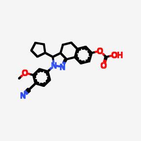 COc1cc(N2N=C3c4ccc(OC(=O)O)cc4CCC3C2C2CCCC2)ccc1C#N